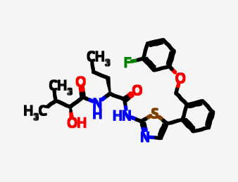 CCC[C@H](NC(=O)[C@@H](O)C(C)C)C(=O)Nc1ncc(-c2ccccc2COc2cccc(F)c2)s1